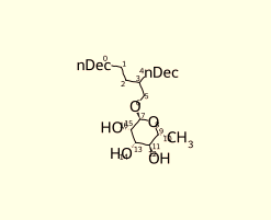 CCCCCCCCCCCCC(CCCCCCCCCC)CO[C@H]1O[C@H](C)[C@@H](O)[C@H](O)[C@@H]1O